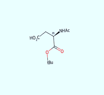 CC(=O)N[C@H](CC(=O)O)C(=O)OC(C)(C)C